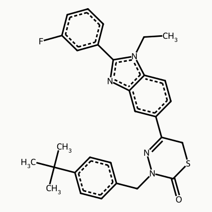 CCn1c(-c2cccc(F)c2)nc2cc(C3=NN(Cc4ccc(C(C)(C)C)cc4)C(=O)SC3)ccc21